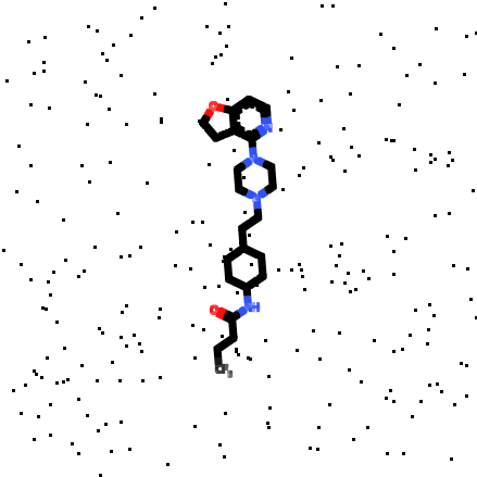 O=C(CCC(F)(F)F)NC1CCC(CCN2CCN(c3nccc4c3CCO4)CC2)CC1